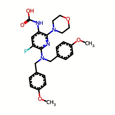 COc1ccc(CN(Cc2ccc(OC)cc2)c2nc(N3CCOCC3)c(NC(=O)O)cc2F)cc1